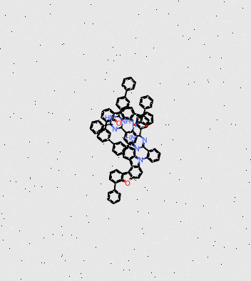 c1ccc(C2=NC(c3ccccc3-n3c4ccccc4c4ccc5c6cccc(-c7cccc(-c8cccc(C9=NC(c%10ccccc%10-n%10c%11ccccc%11c%11c%12c(ccc%11%10)oc%10c(-c%11ccccc%11)cccc%10%12)=NC(c%10ccc(-c%11ccccc%11)cc%10)N9)c8)c7)c6oc5c43)NC(c3ccc(-c4ccccc4)cc3)N2)cc1